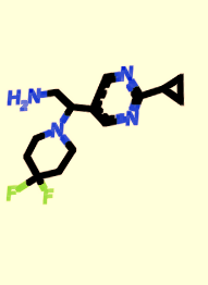 NCC(c1cnc(C2CC2)nc1)N1CCC(F)(F)CC1